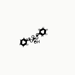 O=P(O)(OOc1ccccc1)OOc1ccccc1